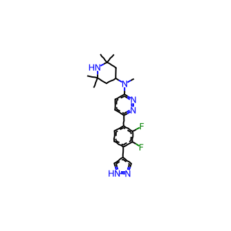 CN(c1ccc(-c2ccc(-c3cn[nH]c3)c(F)c2F)nn1)C1CC(C)(C)NC(C)(C)C1